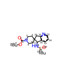 CC(C)(C)OC(=O)N1CCC2(CC1)Cc1ncccc1C2N[S+]([O-])C(C)(C)C